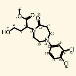 COC(=O)C(CCO)N1CCN(c2ccc(Cl)c(Cl)c2)CCC1=O